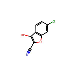 N#Cc1oc2cc(Cl)ccc2c1O